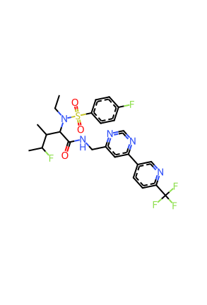 CCN(C(C(=O)NCc1cc(-c2ccc(C(F)(F)F)nc2)ncn1)C(C)C(C)F)S(=O)(=O)c1ccc(F)cc1